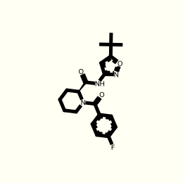 CC(C)(C)c1cc(NC(=O)[C@@H]2CCCCN2C(=O)c2ccc(F)cc2)no1